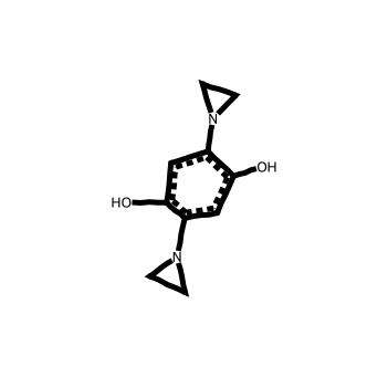 Oc1cc(N2CC2)c(O)cc1N1CC1